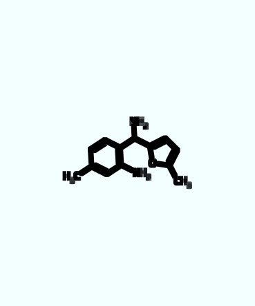 Cc1ccc(C(N)c2ccc(C)o2)c(N)c1